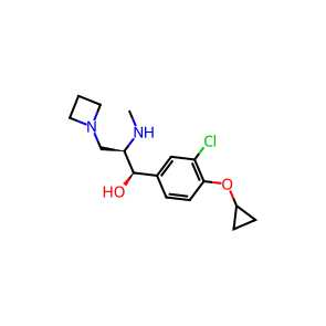 CN[C@H](CN1CCC1)[C@H](O)c1ccc(OC2CC2)c(Cl)c1